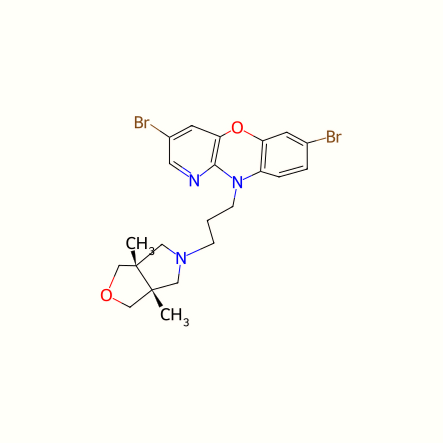 C[C@@]12COC[C@]1(C)CN(CCCN1c3ccc(Br)cc3Oc3cc(Br)cnc31)C2